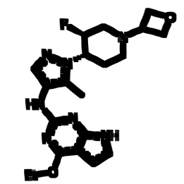 CCOc1nc(Nc2cnn([C@H]3CCN(C4COC4)C[C@@H]3F)c2C)nc2[nH]ccc12